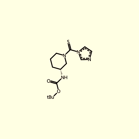 CC(C)(C)OC(=O)N[C@@H]1CCCN(C(=S)n2ccnc2)C1